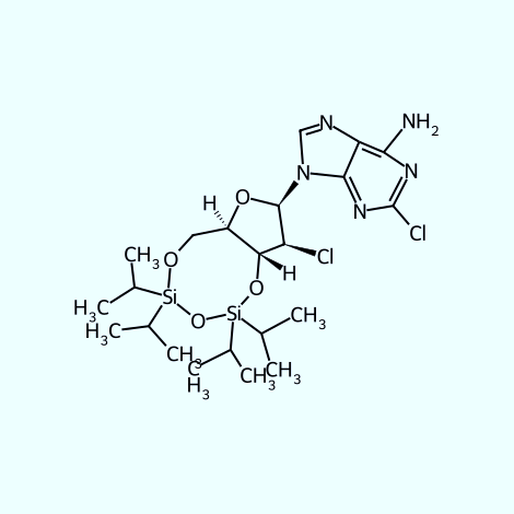 CC(C)[Si]1(C(C)C)OC[C@H]2O[C@@H](n3cnc4c(N)nc(Cl)nc43)[C@@H](Cl)[C@@H]2O[Si](C(C)C)(C(C)C)O1